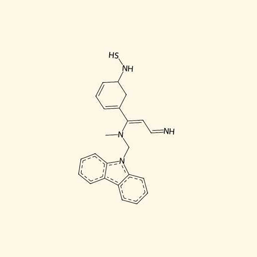 CN(Cn1c2ccccc2c2ccccc21)/C(=C\C=N)C1=CC=CC(NS)C1